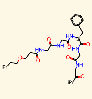 CC(C)CCOCCC(=O)NCC(=O)NCC(=O)N[C@@H](Cc1ccccc1)C(=O)NCC(=O)NCC(=O)C(C)C